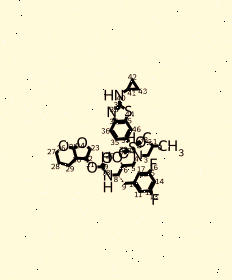 CC(C)CN(C[C@@H](O)[C@H](Cc1cc(F)cc(F)c1)NC(=O)OC1COC2OCCCC12)S(=O)(=O)c1ccc2nc(NC3CC3)sc2c1